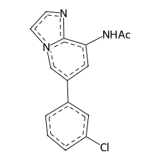 CC(=O)Nc1cc(-c2cccc(Cl)c2)cn2ccnc12